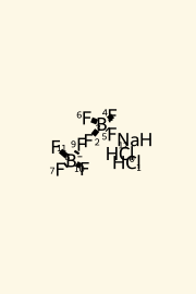 Cl.Cl.F[B-](F)(F)F.F[B-](F)(F)F.[NaH]